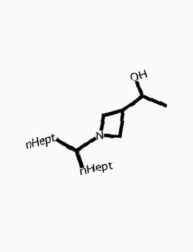 CCCCCCCC(CCCCCCC)N1CC(C(C)O)C1